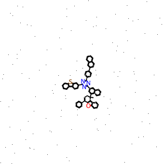 CC1(c2cc(-c3nc(-c4ccc(-c5ccc6ccccc6c5)cc4)nc(-c4ccc5c(c4)sc4ccccc45)n3)cc3ccccc23)CC=C(c2ccccc2)c2oc3ccccc3c21